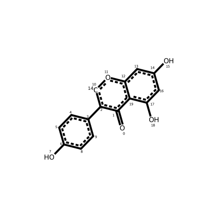 O=c1c(-c2ccc(O)cc2)[14cH]oc2cc(O)cc(O)c12